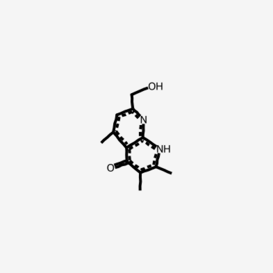 Cc1[nH]c2nc(CO)cc(C)c2c(=O)c1C